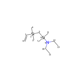 C=C[Si](C)(C)C[Si](C)(C)N(CC)CC